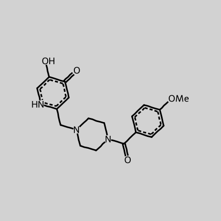 COc1ccc(C(=O)N2CCN(Cc3cc(=O)c(O)c[nH]3)CC2)cc1